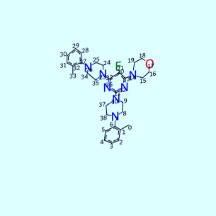 Cc1ccccc1N1CCN(c2nc(N3CCOCC3)c(F)c(N3CCN(c4ccccc4C)CC3)n2)CC1